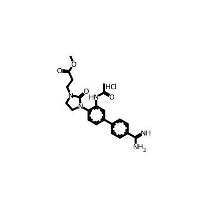 COC(=O)CCN1CCN(c2ccc(-c3ccc(C(=N)N)cc3)cc2NC(C)=O)C1=O.Cl